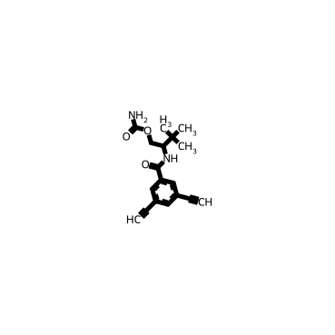 C#Cc1cc(C#C)cc(C(=O)NC(COC(N)=O)C(C)(C)C)c1